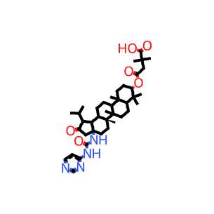 CC(C)C1C(=O)CC2(NC(=O)Nc3ccncn3)CC[C@]3(C)C(CCC4C5(C)CCC(OC(=O)CC(C)(C)C(=O)O)C(C)(C)C5CCC43C)C12